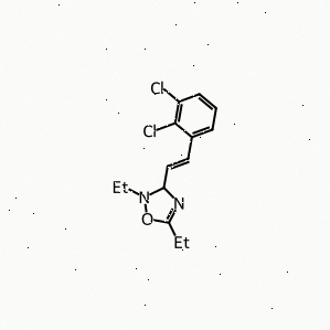 CCC1=NC(C=Cc2cccc(Cl)c2Cl)N(CC)O1